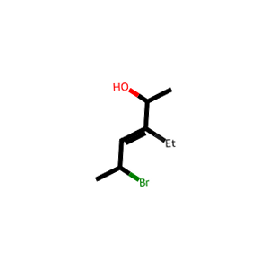 CC/C(=C\C(C)Br)C(C)O